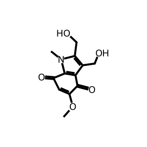 COC1=CC(=O)c2c(c(CO)c(CO)n2C)C1=O